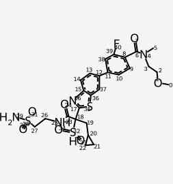 COCCN(C)C(=O)c1ccc(-c2ccc3nc(C(CC4CC4)(C(=O)NCCS(N)(=O)=O)[SH](=O)=O)sc3c2)cc1F